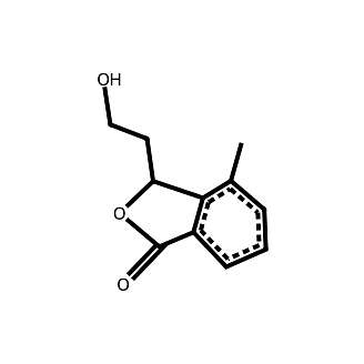 Cc1cccc2c1C(CCO)OC2=O